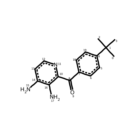 CC(C)(C)c1ccc(C(=O)c2nccc(N)c2N)cc1